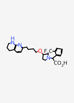 O=C(O)C(c1ccccc1C(F)(F)F)N1CCC(OCCCCc2ccc3c(n2)NCCC3)C1